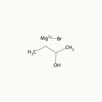 CCC(C)O.[Mg+2][Br]